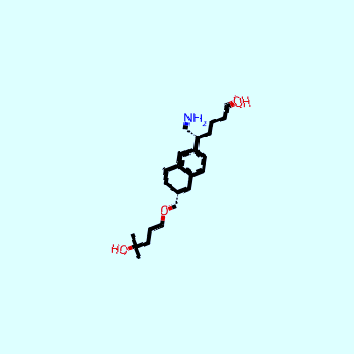 CC(C)(O)CCCOC[C@@H]1CCc2cc([C@H](CN)CCCCO)ccc2C1